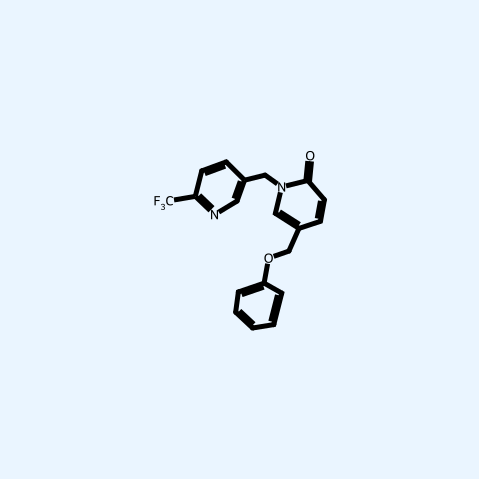 O=c1ccc(COc2ccccc2)cn1Cc1ccc(C(F)(F)F)nc1